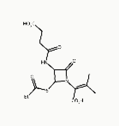 CCC(=O)SC1C(NC(=O)CCC(=O)O)C(=O)N1C(C(=O)O)=C(C)C